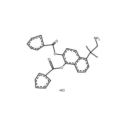 CC(C)(CN)c1cccc2c(OC(=O)c3ccccc3)c(OC(=O)c3ccccc3)ccc12.Cl